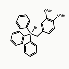 COc1ccc(CP(Br)(c2ccccc2)(c2ccccc2)c2ccccc2)cc1OC